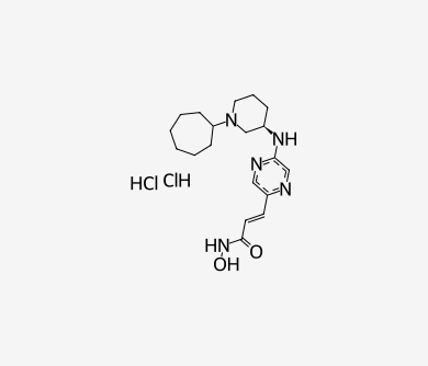 Cl.Cl.O=C(C=Cc1cnc(N[C@@H]2CCCN(C3CCCCCC3)C2)cn1)NO